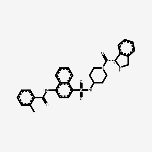 Cc1ccccc1C(=O)Nc1ccc(S(=O)(=O)NC2CCN(C(=O)[C@H]3NCc4ccccc43)CC2)c2ccccc12